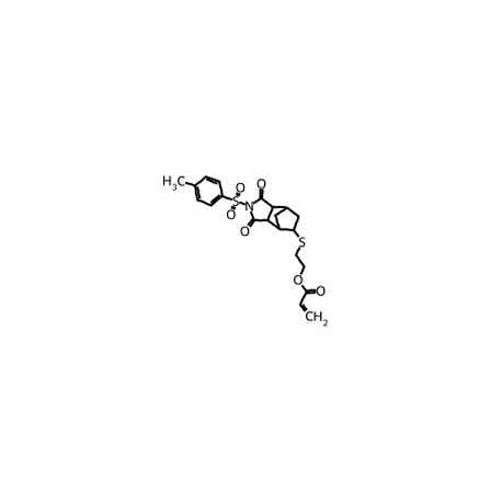 C=CC(=O)OCCSC1CC2CC1C1C(=O)N(S(=O)(=O)c3ccc(C)cc3)C(=O)C21